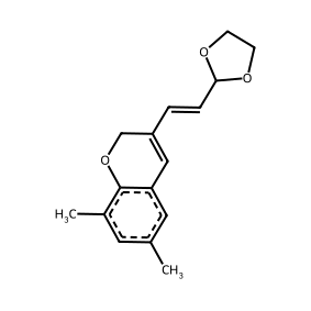 Cc1cc(C)c2c(c1)C=C(C=CC1OCCO1)CO2